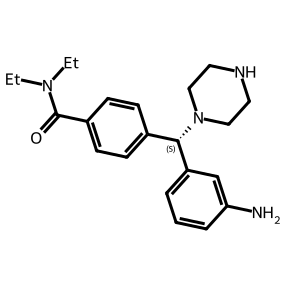 CCN(CC)C(=O)c1ccc([C@@H](c2cccc(N)c2)N2CCNCC2)cc1